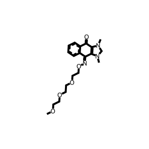 COCCOCCOCCON=C1C2=C(C(=O)c3ccccc31)N(C)CN2C